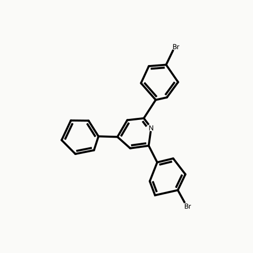 Brc1ccc(-c2cc(-c3ccccc3)cc(-c3ccc(Br)cc3)n2)cc1